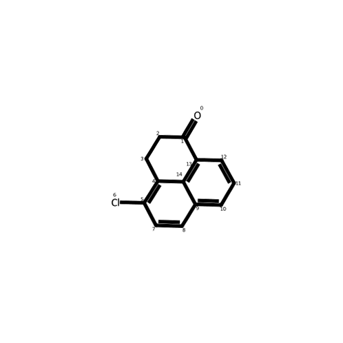 O=C1CCc2c(Cl)ccc3cccc1c23